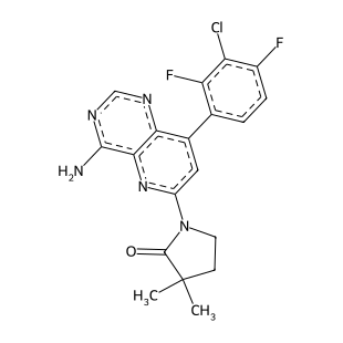 CC1(C)CCN(c2cc(-c3ccc(F)c(Cl)c3F)c3ncnc(N)c3n2)C1=O